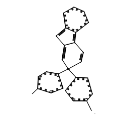 Oc1ccc(C2(c3ccc(O)cc3)C=CC3=c4ccccc4=CC3=C2)cc1